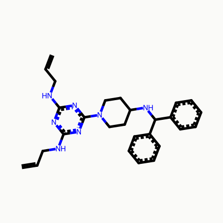 C=CCNc1nc(NCC=C)nc(N2CCC(NC(c3ccccc3)c3ccccc3)CC2)n1